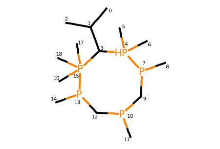 CC(C)C1[PH](C)(C)P(C)CP(C)CP(C)P1(C)(C)C